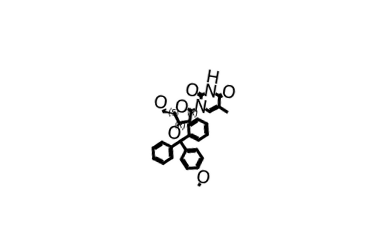 COc1ccc(C(O[C@@H]2C[C@H](n3cc(C)c(=O)[nH]c3=O)O[C@@H]2C=O)(c2ccccc2)c2ccccc2)cc1